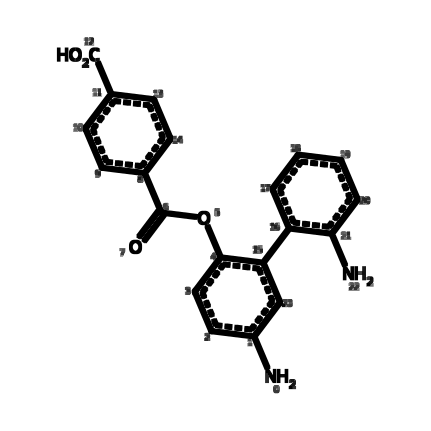 Nc1ccc(OC(=O)c2ccc(C(=O)O)cc2)c(-c2ccccc2N)c1